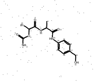 CC(NC(=O)C(OC(N)=O)C(C)C)C(=O)Nc1ccc(CO)cc1